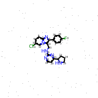 Fc1ccc(-c2nc3ccc(Cl)cn3c2CNc2nccc(C3CCCN3)n2)cc1